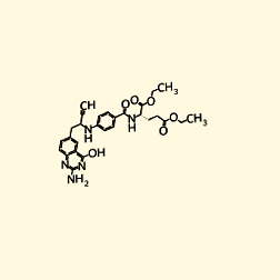 C#CC(Cc1ccc2nc(N)nc(O)c2c1)Nc1ccc(C(=O)N[C@@H](CCC(=O)OCC)C(=O)OCC)cc1